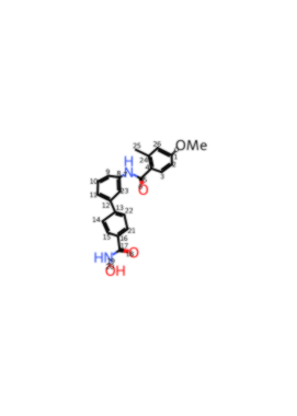 COc1ccc(C(=O)Nc2cccc(-c3ccc(C(=O)NO)cc3)c2)c(C)c1